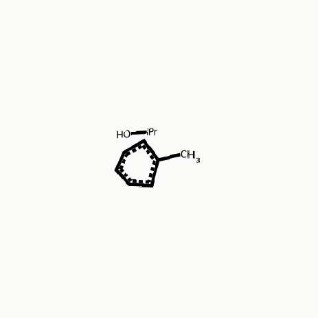 CC(C)O.Cc1ccccc1